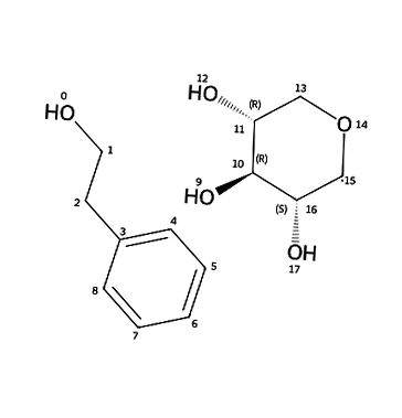 OCCc1ccccc1.O[C@H]1[C@H](O)CO[CH][C@@H]1O